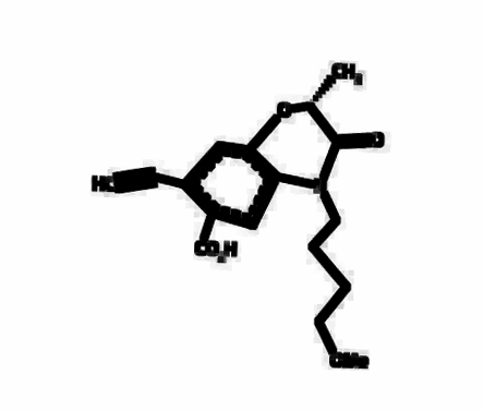 C#Cc1cc2c(cc1C(=O)O)N(CCCCOC)C(=O)[C@@H](C)O2